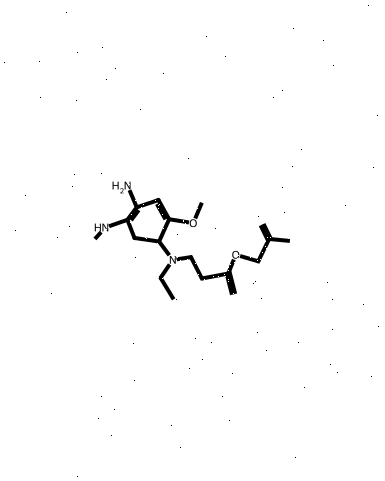 C=C(C)COC(=C)CCN(CC)C1CC(NC)=C(N)C=C1OC